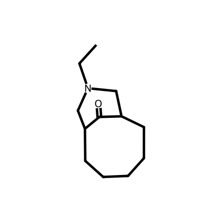 CCN1CC2CCCCCC(C1)C2=O